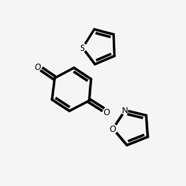 O=C1C=CC(=O)C=C1.c1ccsc1.c1cnoc1